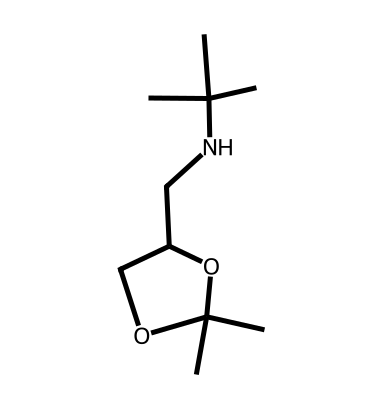 CC(C)(C)NCC1COC(C)(C)O1